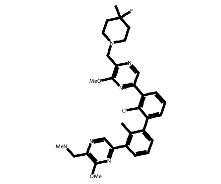 CNCc1ncc(-c2cccc(-c3cccc(-c4cnc(CN5CCC(C)(F)CC5)c(OC)n4)c3Cl)c2C)nc1OC